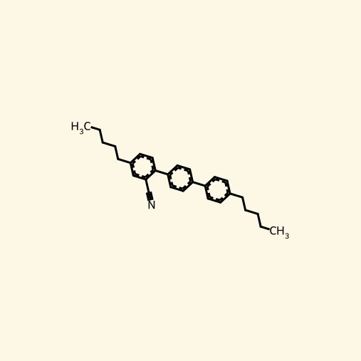 CCCCCc1ccc(-c2ccc(-c3ccc(CCCCC)cc3C#N)cc2)cc1